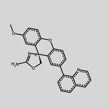 COc1ccc2c(c1)[C@]1(COC(N)=N1)c1cc(-c3cccc4cccnc34)ccc1O2